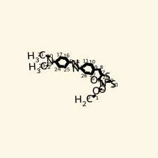 C=COON1C(=O)/C(=C\c2ccc(/N=N/c3ccc(N(CC)CC)cc3)cc2)SC1=S